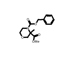 COC(=O)C1(C)COCCN1C(=O)OCc1ccccc1